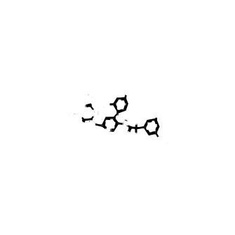 COC(=O)[C@H](Cc1cc(-c2ccc(F)cc2C)c(N(C)C(=O)C(C)(C)c2cc(C(F)(F)F)cc(C(F)(F)F)c2)cn1)NC(=O)OC(C)(C)C